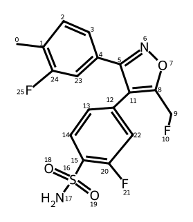 Cc1ccc(-c2noc(CF)c2-c2ccc(S(N)(=O)=O)c(F)c2)cc1F